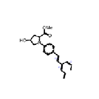 C=C/C=C(\C=C/C)/C=C/c1ccc(N2CC(O)CC2C(=O)OC)cc1